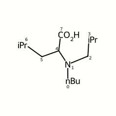 CCCCN(CC(C)C)C(CC(C)C)C(=O)O